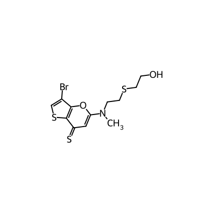 CN(CCSCCO)c1cc(=S)c2scc(Br)c2o1